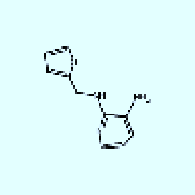 Nc1cccnc1NCc1ccco1